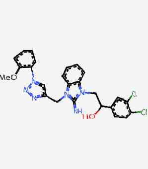 COc1ccccc1-n1cc(Cn2c(=N)n(CC(O)c3ccc(Cl)c(Cl)c3)c3ccccc32)nn1